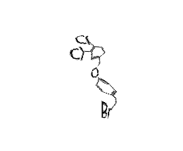 Clc1ccc(COc2ccc(CBr)cc2)cc1Cl